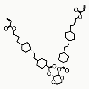 C=CC(=O)OCCC[C@H]1CC[C@H](CCC2CCC(C(=O)O[C@H]3OCCO[C@@H]3OC(=O)[C@H]3CC[C@H](CC[C@H]4CC[C@H](CCCOC(=O)C=C)CC4)CC3)CC2)CC1